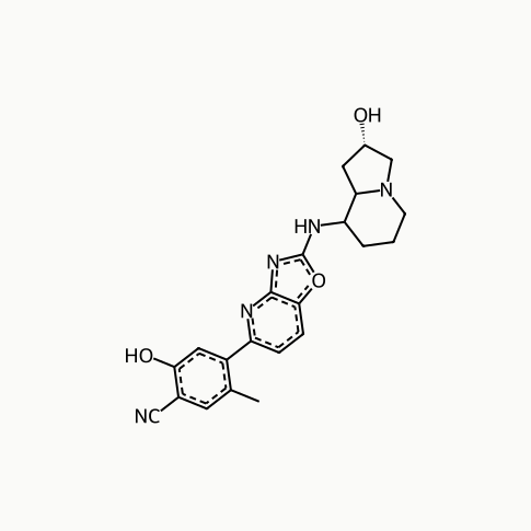 Cc1cc(C#N)c(O)cc1-c1ccc2oc(NC3CCCN4C[C@@H](O)CC34)nc2n1